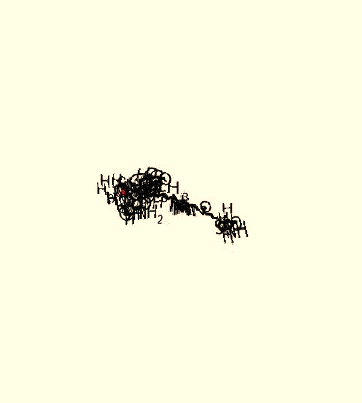 CC(=O)O[C@H]1C2C([C@@H](O)[C@H](N)[C@H]3C[C@@H]4O[C@@H]4[C@H](O)[C@]23C)[C@@H]2[C@H](OC(=O)CCCCn3cc(CNC(=O)CCCC[C@@H]4SC[C@@H]5NC(=O)N[C@@H]54)nn3)[C@@H]3[C@H]([C@H](C)[C@H]4O[C@]45OC(=O)[C@@](C)(O)[C@]35C)[C@@]2(C)[C@H]1OC(C)=O